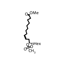 CCCCCC[C@H](C/C=C\CCCCCCCC(=O)OC)OS(C)(=O)=O